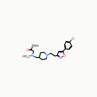 CNC(=O)CN(CC1CCN(CCc2cc(-c3ccc(Cl)cc3)on2)CC1)C(=O)O